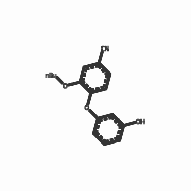 CCCCOc1cc(C#N)ccc1Oc1cccc(O)c1